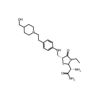 CCN1C(=O)[C@@H](CNc2ccc(CCN3CCC(CO)CC3)cc2)SC1[C@H](N)C(N)=O